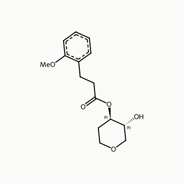 COc1ccccc1CCC(=O)O[C@@H]1CCOC[C@H]1O